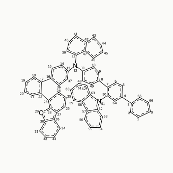 c1ccc(-c2ccc(-c3ccc(N(c4ccc(-c5ccccc5-c5cccc6c5oc5ccccc56)cc4)c4cccc5ccccc45)cc3)c(-n3c4ccccc4c4ccccc43)c2)cc1